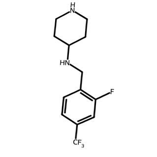 Fc1cc(C(F)(F)F)ccc1CNC1CCNCC1